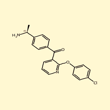 C[C@H](N)c1ccc(C(=O)c2cccnc2Oc2ccc(Cl)cc2)cc1